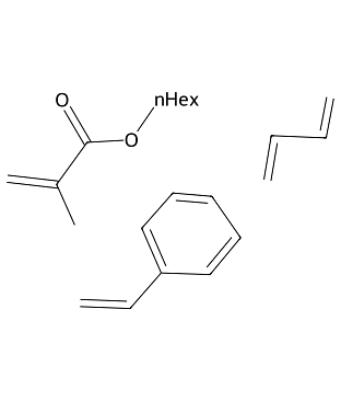 C=C(C)C(=O)OCCCCCC.C=CC=C.C=Cc1ccccc1